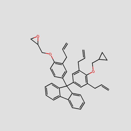 C=CCc1cc(C2(c3cc(CC=C)c(OCC4CC4)c(CC=C)c3)c3ccccc3-c3ccccc32)ccc1OCC1CO1